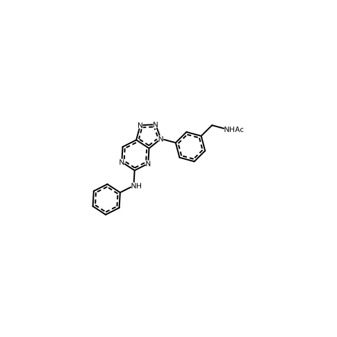 CC(=O)NCc1cccc(-n2nnc3cnc(Nc4ccccc4)nc32)c1